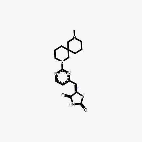 CN1CCCC2(CCCN(c3nccc(/C=C4/SC(=O)NC4=O)n3)C2)C1